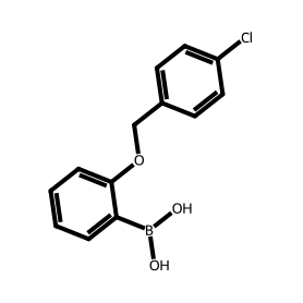 OB(O)c1ccccc1OCc1ccc(Cl)cc1